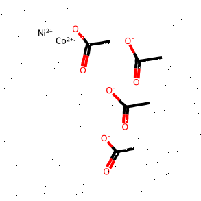 CC(=O)[O-].CC(=O)[O-].CC(=O)[O-].CC(=O)[O-].[Co+2].[Ni+2]